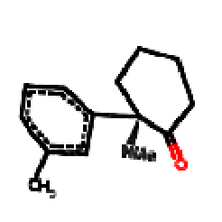 CN[C@@]1(c2cccc(C)c2)CCCCC1=O